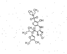 CCN(CC)S(=O)(=O)c1scc(Nc2n[s+]([O-])nc2N[C@@H](c2cc(C)c(C)o2)C(C)C)c1O